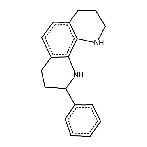 c1ccc(C2CCc3ccc4c(c3N2)NCCC4)cc1